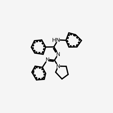 c1ccc(/N=C(/N=C(/Nc2ccccc2)c2ccccc2)N2CCCC2)cc1